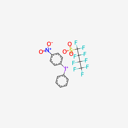 O=S(=O)([O-])C(F)(F)C(F)(F)C(F)(F)C(F)(F)F.O=[N+]([O-])c1ccc([I+]c2ccccc2)cc1